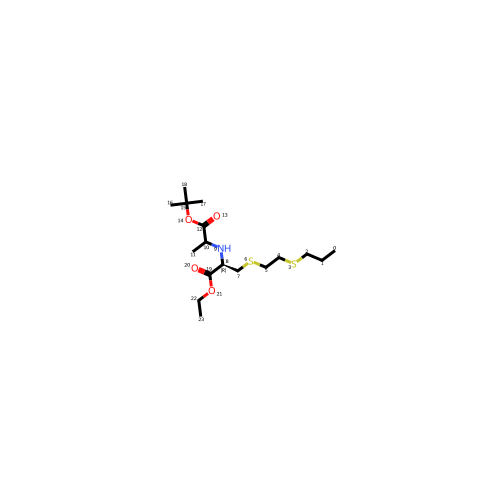 CCCSCCSC[C@H](NC(C)C(=O)OC(C)(C)C)C(=O)OCC